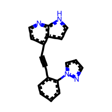 C(#Cc1ccnc2[nH]ccc12)c1ccccc1-n1cccn1